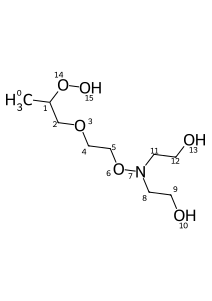 CC(COCCON(CCO)CCO)OO